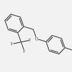 CCc1ccc(OCc2ccccc2C(F)(F)F)cc1